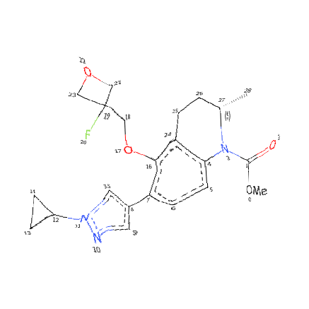 COC(=O)N1c2ccc(-c3cnn(C4CC4)c3)c(OCC3(F)COC3)c2CC[C@@H]1C